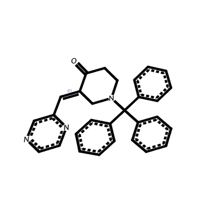 O=C1CCN(C(c2ccccc2)(c2ccccc2)c2ccccc2)C/C1=C\c1cnccn1